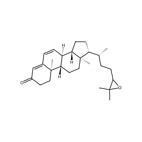 C[C@H](CCC1OC1(C)C)[C@H]1CC[C@H]2[C@@H]3C=CC4=CC(=O)CC[C@]4(C)[C@H]3CC[C@]12C